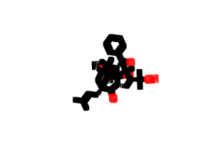 CC(C)=CC[C@@]12C[C@H]3C[C@@H]4C(C)(C)[C@@H](C(C)(C)O)C[C@]4(C1=O)C(=O)[C@@](C(=O)c1ccccc1)(C2=O)C3(C)C